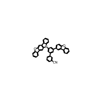 N#Cc1cccc(-c2cc(-c3ccc4oc5ccccc5c4c3)cc(-n3c4ccccc4c4cc5oc6ccccc6c5cc43)c2)c1